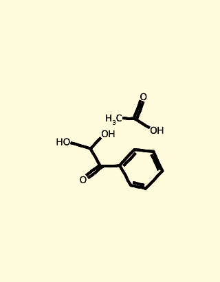 CC(=O)O.O=C(c1ccccc1)C(O)O